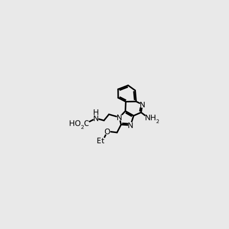 CCOCc1nc2c(N)nc3ccccc3c2n1CCNC(=O)O